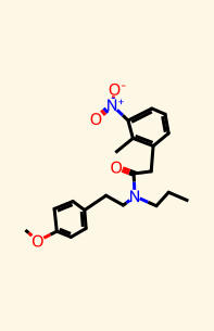 CCCN(CCc1ccc(OC)cc1)C(=O)Cc1cccc([N+](=O)[O-])c1C